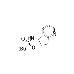 CC(C)(C)S(=O)(=O)N[C@H]1CCc2ncccc21